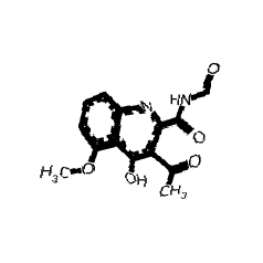 COc1cccc2nc(C(=O)NC=O)c(C(C)=O)c(O)c12